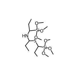 CCC(NC(CC)[Si](OC)(OC)OC)SC(CC)[Si](OC)(OC)OC